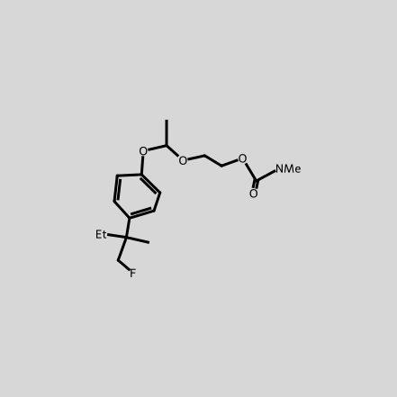 CCC(C)(CF)c1ccc(OC(C)OCCOC(=O)NC)cc1